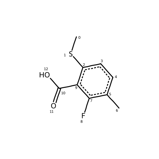 CSc1ccc(C)c(F)c1C(=O)O